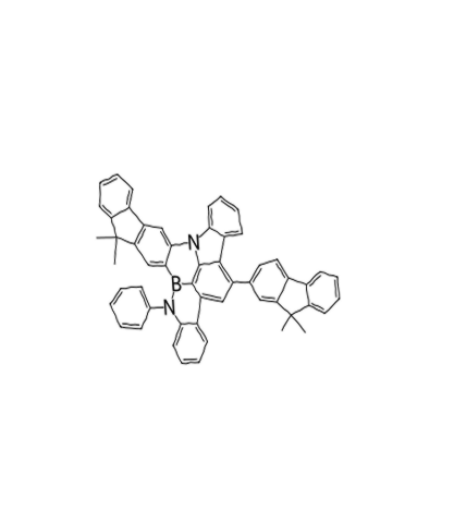 CC1(C)c2ccccc2-c2ccc(-c3cc4c5c6c3c3ccccc3n6-c3cc6c(cc3B5N(c3ccccc3)c3ccccc3-4)C(C)(C)c3ccccc3-6)cc21